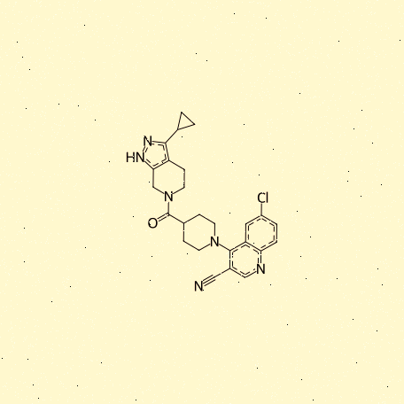 N#Cc1cnc2ccc(Cl)cc2c1N1CCC(C(=O)N2CCc3c(C4CC4)n[nH]c3C2)CC1